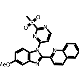 COc1ccc2c(c1)nc(-c1ccc3ccccc3n1)n2-c1ccnc(S(C)(=O)=O)n1